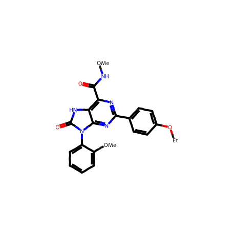 CCOc1ccc(-c2nc(C(=O)NOC)c3[nH]c(=O)n(-c4ccccc4OC)c3n2)cc1